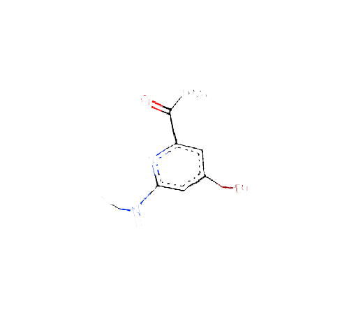 COC(=O)c1cc(Br)cc(NC(C)(C)C)n1